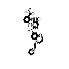 CNC(=O)c1cccc(F)c1Nc1nc(Nc2ccc3c(c2)OCCCN3CCN2CCCC2)ncc1Cl